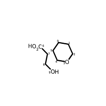 C1CCOCC1.O=C(O)CCO